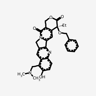 CC[C@@]1(OCc2ccccc2)C(=O)OCc2c1cc1n(c2=O)Cc2cc3c(CN(C)C)c(O)ccc3nc2-1